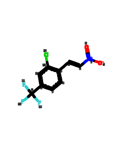 O=[N+]([O-])C=Cc1ccc(C(F)(F)F)cc1Cl